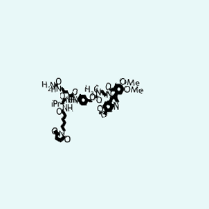 COc1cc2c(=O)n(CCN(C)C(=O)OCc3ccc(NC(=O)[C@H](CCCNC(N)=O)NC(=O)[C@@H](NC(=O)CCCCCN4C(=O)C=CC4=O)C(C)C)cc3)c3c4cc5c(cc4ncc3c2cc1OC)OCO5